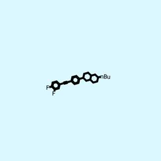 CCCCC1CCC2CC(c3ccc(C#Cc4ccc(F)c(F)c4)cc3)CCC2C1